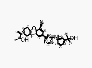 C=C([C@H](C)O)N1CC[C@H](OC2CC=C(c3ncnc(Nc4cccc(C(C)(C)O)c4)n3)C=C2C#N)[C@H](F)C1